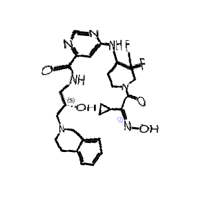 O=C(NC[C@H](O)CN1CCc2ccccc2C1)c1cc(NC2CCN(C(=O)/C(=N\O)C3CC3)CC2(F)F)ncn1